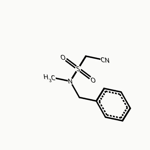 CN(Cc1ccccc1)S(=O)(=O)CC#N